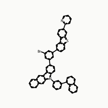 Brc1cc(-c2ccc3sc4cc(-c5ccccn5)ccc4c3c2)cc(-c2ccc3c(c2)c2cc4ccccc4cc2n3-c2cccc(-c3cccc4ccccc34)c2)c1